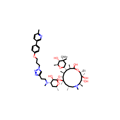 CC[C@H]1OC(O)[C@H](C)C([C@H]2C[C@@](C)(OC)[C@@H](O)[C@H](C)O2)[C@H](C)[C@@H](O[C@@H]2O[C@H](C)C[C@H](N(C)CCc3cn(CCCOc4ccc(-c5ccc(C)nc5)cc4)nn3)[C@H]2O)[C@](C)(O)C[C@@H](C)CN(C)[C@H](C)[C@@H](O)[C@]1(C)O